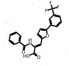 O=C(O)C(=Cc1ccc(-c2cccc(C(F)(F)F)c2)o1)NC(=O)c1ccccc1